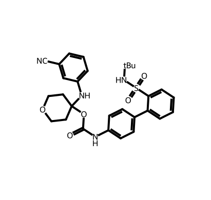 CC(C)(C)NS(=O)(=O)c1ccccc1-c1ccc(NC(=O)OC2(Nc3cccc(C#N)c3)CCOCC2)cc1